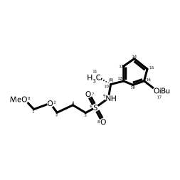 COCOCCCS(=O)(=O)N[C@H](C)c1cccc(OCC(C)C)c1